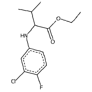 CCOC(=O)C(Nc1ccc(F)c(Cl)c1)C(C)C